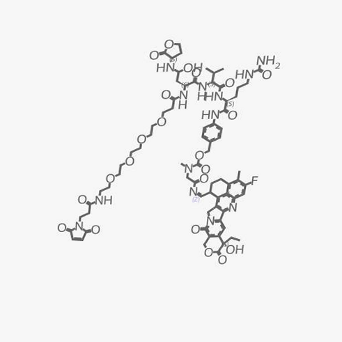 CC[C@@]1(O)C(=O)OCc2c1cc1n(c2=O)Cc2c-1nc1cc(F)c(C)c3c1c2C(/C=N\C(=O)CN(C)C(=O)OCc1ccc(NC(=O)[C@H](CCCNC(N)=O)NC(=O)[C@@H](NC(=O)[C@H](CC(O)N[C@H]2CCOC2=O)NC(=O)CCOCCOCCOCCOCCNC(=O)CCN2C(=O)C=CC2=O)C(C)C)cc1)CC3